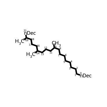 CCCCCCCCCCCCCCCCCCC(C)CCCC(C)CCCC(C)CCCCCCCCCC